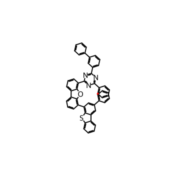 c1ccc(-c2cccc(-c3nc(-c4ccccc4)nc(-c4cccc5c4oc4c(-c6cc(-c7ccccc7)cc7c6sc6ccccc67)cccc45)n3)c2)cc1